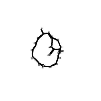 CCCCCCCCCCCC(=O)O/C1=C\C(C)CCCCCCCCCCCC1